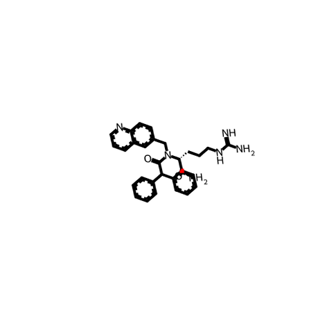 N=C(N)NCCC[C@H](C(N)=O)N(Cc1ccc2ncccc2c1)C(=O)C(c1ccccc1)c1ccccc1